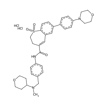 CN(Cc1ccc(NC(=O)C2=Cc3cc(-c4ccc(N5CCOCC5)cc4)ccc3S(=O)(=O)CC2)cc1)C1CCOCC1.Cl.Cl